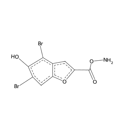 NOC(=O)c1cc2c(Br)c(O)c(Br)cc2o1